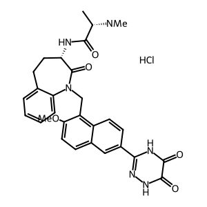 CN[C@@H](C)C(=O)N[C@H]1CCc2ccccc2N(Cc2c(OC)ccc3cc(-c4n[nH]c(=O)c(=O)[nH]4)ccc23)C1=O.Cl